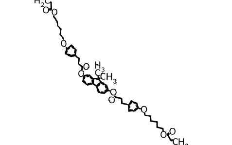 C=CC(=O)OCCCCCCOc1ccc(CCC(=O)Oc2ccc3c(c2)C(C)(C)c2cc(OC(=O)CCc4ccc(OCCCCCCOC(=O)C=C)cc4)ccc2-3)cc1